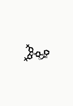 CC(C)(C)c1ccc2c(c1)c1cc(C(C)(C)C)ccc1n2-c1ccc2c(c1)OCc1nc3ccccc3n1-2